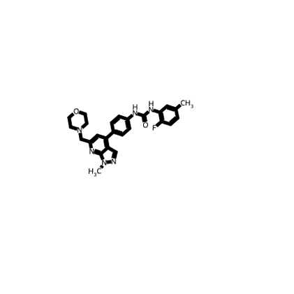 Cc1ccc(F)c(NC(=O)Nc2ccc(-c3cc(CN4CCOCC4)nc4c3cnn4C)cc2)c1